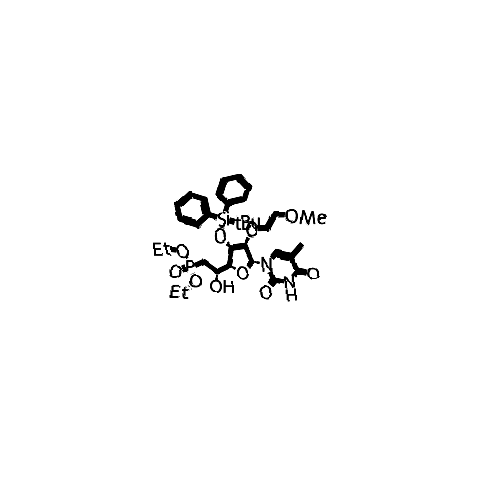 CCOP(=O)(C[C@@H](O)[C@H]1O[C@@H](n2cc(C)c(=O)[nH]c2=O)[C@H](OCCOC)[C@@H]1O[Si](c1ccccc1)(c1ccccc1)C(C)(C)C)OCC